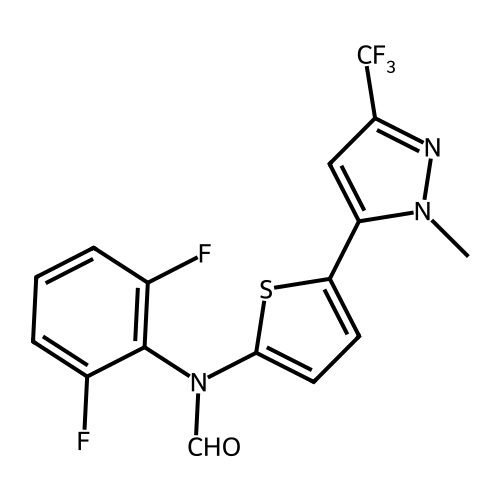 Cn1nc(C(F)(F)F)cc1-c1ccc(N(C=O)c2c(F)cccc2F)s1